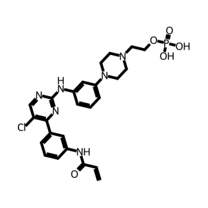 C=CC(=O)Nc1cccc(-c2nc(Nc3cccc(N4CCN(CCOP(=O)(O)O)CC4)c3)ncc2Cl)c1